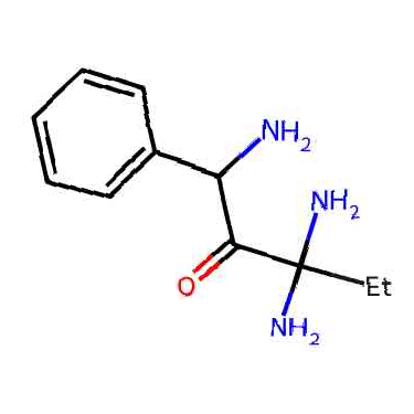 CCC(N)(N)C(=O)C(N)c1ccccc1